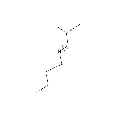 CCCC/N=C/C(C)C